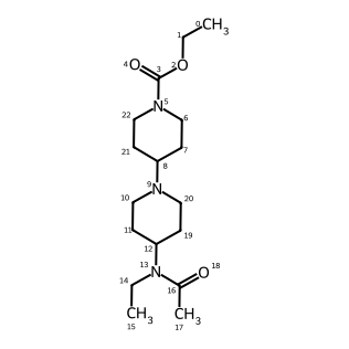 CCOC(=O)N1CCC(N2CCC(N(CC)C(C)=O)CC2)CC1